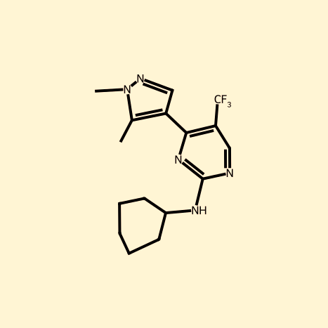 Cc1c(-c2nc(NC3CCCCC3)ncc2C(F)(F)F)cnn1C